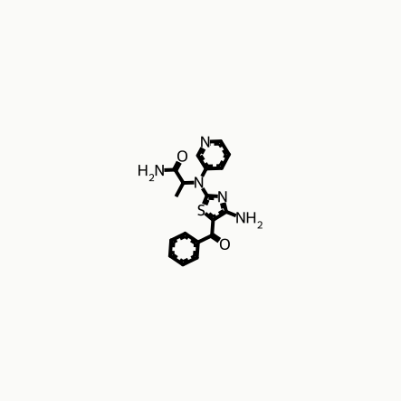 CC(C(N)=O)N(c1cccnc1)c1nc(N)c(C(=O)c2ccccc2)s1